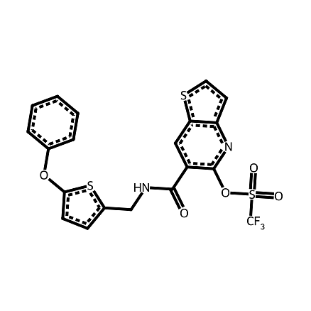 O=C(NCc1ccc(Oc2ccccc2)s1)c1cc2sccc2nc1OS(=O)(=O)C(F)(F)F